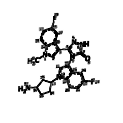 Cn1cc(-c2n[nH]c(=O)n2-c2cn(C3CCC(N)C3)c3ccc(F)cc23)c2cc(F)ccc21